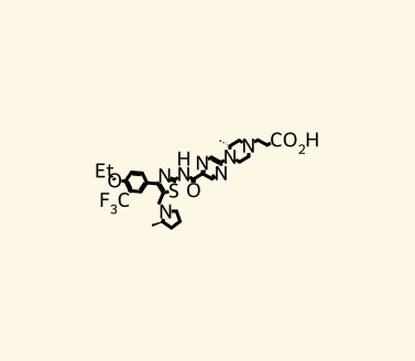 CCOc1ccc(-c2nc(NC(=O)c3cnc(N4CCN(CCC(=O)O)C[C@H]4C)cn3)sc2CN2CCC[C@H]2C)cc1C(F)(F)F